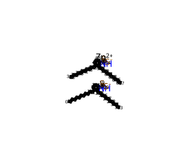 CCCCCCCCCCCCc1cccc(NC(=S)[S-])c1CCCCCCCCCCCC.CCCCCCCCCCCCc1cccc(NC(=S)[S-])c1CCCCCCCCCCCC.[Zn+2]